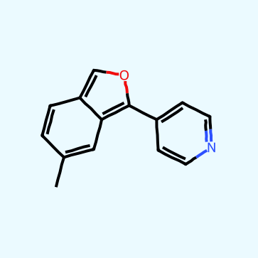 Cc1ccc2coc(-c3ccncc3)c2c1